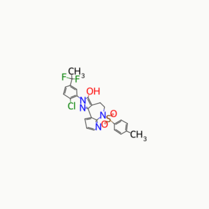 Cc1ccc(S(=O)(=O)N2CCc3c(nn(-c4cc(C(C)(F)F)ccc4Cl)c3O)-c3cccnc32)cc1